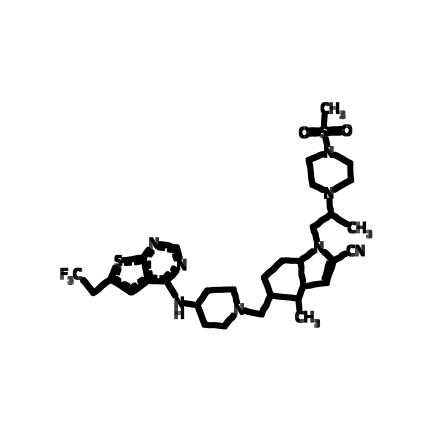 CC1C(CN2CCC(Nc3ncnc4sc(CC(F)(F)F)cc34)CC2)CCC2C1C=C(C#N)N2CC(C)N1CCN(S(C)(=O)=O)CC1